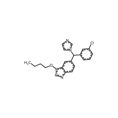 CCCCOn1nnc2ccc(C(c3cccc(Cl)c3)n3ccnc3)cc21